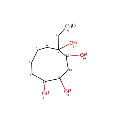 O=CCC1(O)CCCCC(O)C(O)CC1O